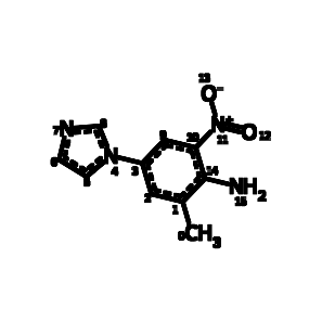 Cc1cc(-n2ccnc2)cc([N+](=O)[O-])c1N